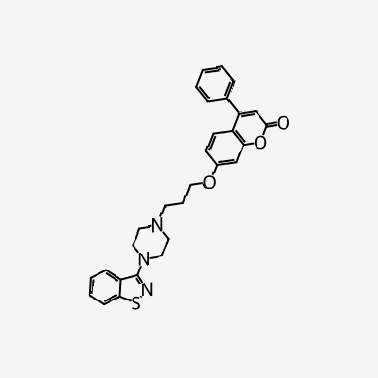 O=c1cc(-c2ccccc2)c2ccc(OCCCN3CCN(c4nsc5ccccc45)CC3)cc2o1